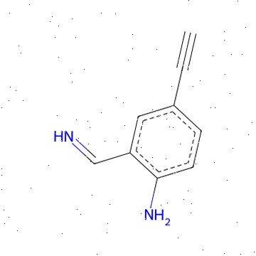 C#Cc1ccc(N)c(C=N)c1